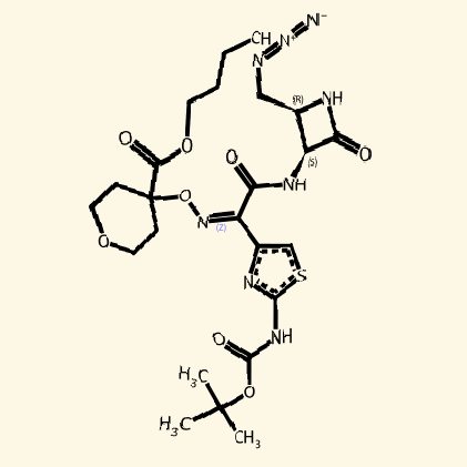 CCCCOC(=O)C1(O/N=C(\C(=O)N[C@@H]2C(=O)N[C@@H]2CN=[N+]=[N-])c2csc(NC(=O)OC(C)(C)C)n2)CCOCC1